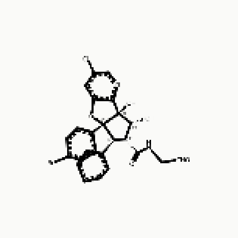 O=CCNC(=O)[C@H]1[C@@H](O)[C@@]2(O)c3ncc(Cl)cc3O[C@@]2(c2ccc(Br)cc2)[C@@H]1c1ccccc1